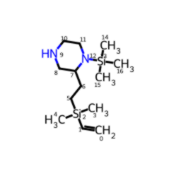 C=C[Si](C)(C)CCC1CNCCN1[Si](C)(C)C